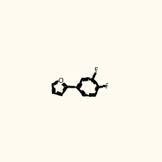 Fc1ccc(-c2ccco2)cc1F